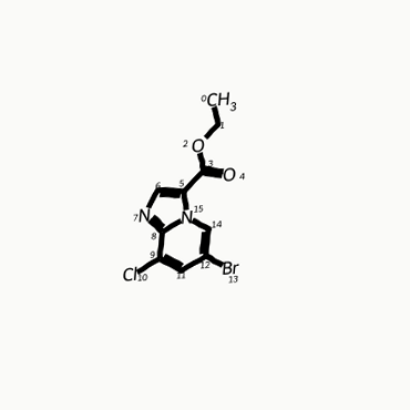 CCOC(=O)c1cnc2c(Cl)cc(Br)cn12